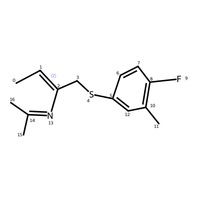 C/C=C(/CSc1ccc(F)c(C)c1)N=C(C)C